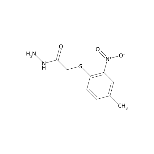 Cc1ccc(SCC(=O)NN)c([N+](=O)[O-])c1